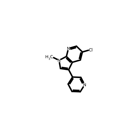 Cn1cc(-c2cccnc2)c2cc(Cl)cnc21